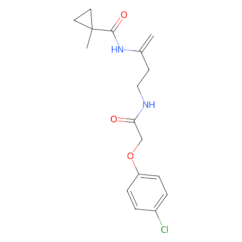 C=C(CCNC(=O)COc1ccc(Cl)cc1)NC(=O)C1(C)CC1